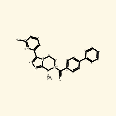 C[C@@H]1c2nnc(-c3cccc(O)n3)n2CCN1C(=O)c1ccc(-c2ccccc2)cc1